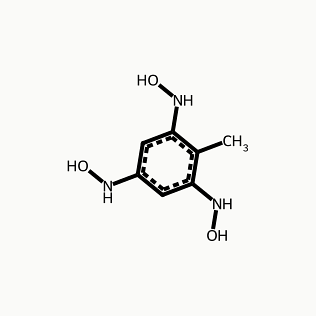 Cc1c(NO)cc(NO)cc1NO